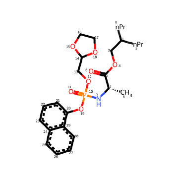 CCCC(CCC)COC(=O)[C@H](C)NP(=O)(OCC1OCCO1)Oc1cccc2ccccc12